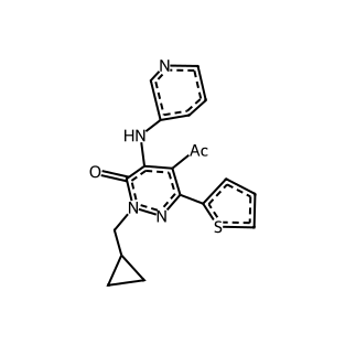 CC(=O)c1c(-c2cccs2)nn(CC2CC2)c(=O)c1Nc1cccnc1